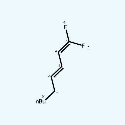 [CH2]CCCC/C=C/C=C(F)F